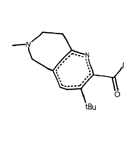 CN1CCc2nc(C(=O)I)c(C(C)(C)C)cc2C1